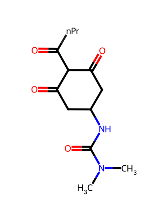 CCCC(=O)C1C(=O)CC(NC(=O)N(C)C)CC1=O